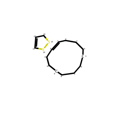 C1=CCCCCCCCCCC1.C1=CSSC1